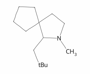 CN1CCC2(CCCC2)C1CC(C)(C)C